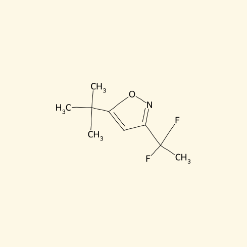 CC(C)(C)c1cc(C(C)(F)F)no1